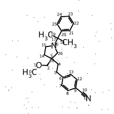 COC[C@@]1(CCc2ccc(C#N)cc2)CCN(C(C)(C)c2ccccc2)C1